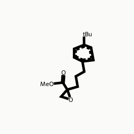 COC(=O)C1(CCCc2ccc(C(C)(C)C)cc2)CO1